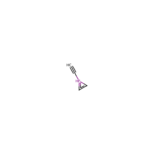 C#C[PH]1=C=C1